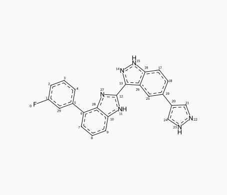 Fc1cccc(-c2cccc3[nH]c(-c4n[nH]c5ccc(-c6cn[nH]c6)cc45)nc23)c1